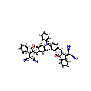 N#CC(C#N)=C1/C(=C/c2ccc(N(c3ccccc3)c3ccc(/C=C4\C(=O)c5ccccc5C4=C(C#N)C#N)cc3)cc2)C(=O)c2ccccc21